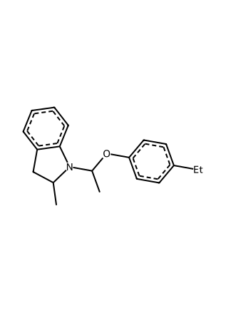 CCc1ccc(OC(C)N2c3ccccc3CC2C)cc1